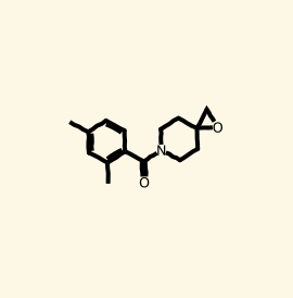 Cc1ccc(C(=O)N2CCC3(CC2)CO3)c(C)c1